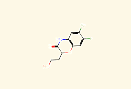 O=C1Nc2cc(Br)c(F)cc2OC1CCO